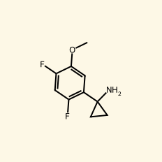 COc1cc(C2(N)CC2)c(F)cc1F